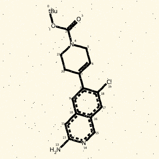 CC(C)(C)OC(=O)N1CC=C(c2cc3cc(N)ncc3cc2Cl)CC1